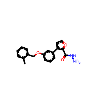 Cc1ccccc1COc1cccc(-c2ccoc2C(=O)NN)c1